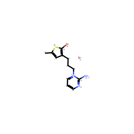 Cc1cc(CCC[n+]2cccnc2N)c(Br)s1.[Br-]